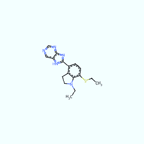 CCSc1ccc(-c2nc3ncncc3[nH]2)c2c1N(CC)CC2